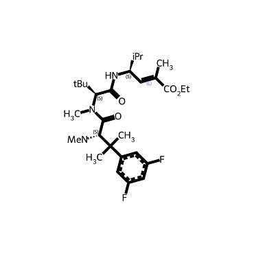 CCOC(=O)/C(C)=C/[C@@H](NC(=O)[C@@H](N(C)C(=O)[C@@H](NC)C(C)(C)c1cc(F)cc(F)c1)C(C)(C)C)C(C)C